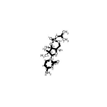 CC(C)OP1(=O)OC[C@@]2(F)O[C@@H](n3ccc(N)nc3=O)[C@](C)(F)[C@@H]2O1